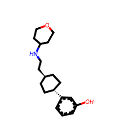 Oc1cccc([C@H]2CC[C@H](CCNC3CCOCC3)CC2)c1